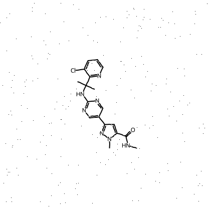 CNC(=O)c1cc(-c2cnc(NC(C)(C)c3ncccc3Cl)nc2)nn1C